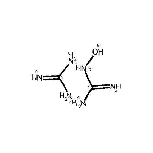 N=C(N)N.N=C(N)NO